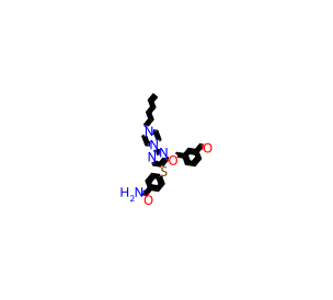 C=CCCCCN1CCN(c2ncc(Sc3ccc(C(N)=O)cc3)c(OCc3cccc(C=O)c3)n2)CC1